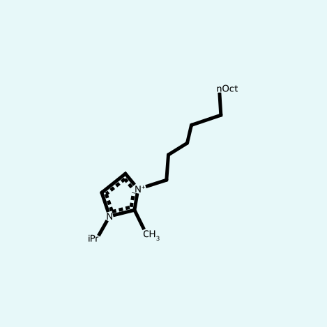 CCCCCCCCCCCCC[n+]1ccn(C(C)C)c1C